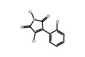 O=C1C(Cl)=C(c2ccccc2Cl)C(=O)N1Cl